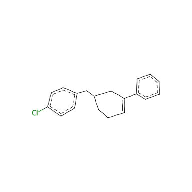 Clc1ccc(CC2CCC=C(c3ccccc3)C2)cc1